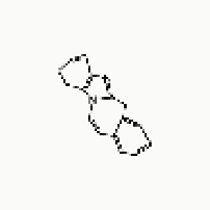 C1=Cc2nc3n(c2CC1)C=Cc1ccccc1C3